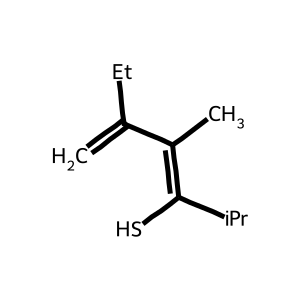 C=C(CC)/C(C)=C(\S)C(C)C